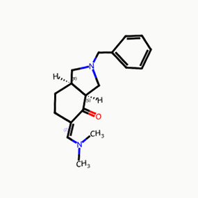 CN(C)/C=C1/CC[C@H]2CN(Cc3ccccc3)C[C@H]2C1=O